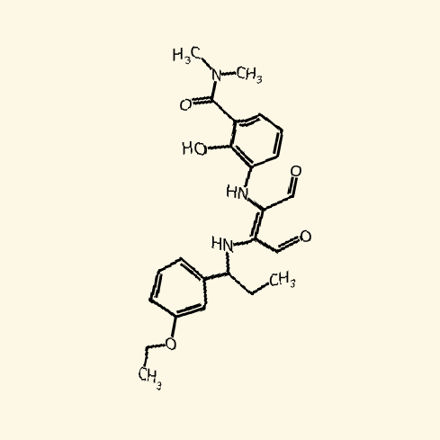 CCOc1cccc(C(CC)N/C(C=O)=C(/C=O)Nc2cccc(C(=O)N(C)C)c2O)c1